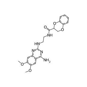 COc1cc2nc(NCCNC(=O)C3COc4ccccc4O3)nc(N)c2cc1OC